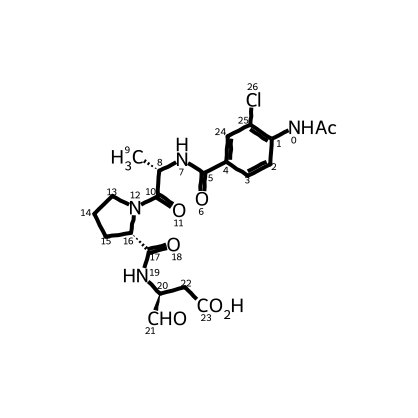 CC(=O)Nc1ccc(C(=O)N[C@@H](C)C(=O)N2CCC[C@H]2C(=O)N[C@H](C=O)CC(=O)O)cc1Cl